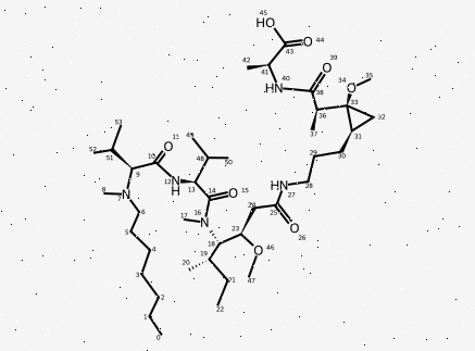 CCCCCCCN(C)[C@H](C(=O)N[C@H](C(=O)N(C)[C@@H]([C@@H](C)CC)[C@@H](CC(=O)NCCC[C@@H]1C[C@@]1(OC)[C@@H](C)C(=O)N[C@@H](C)C(=O)O)OC)C(C)C)C(C)C